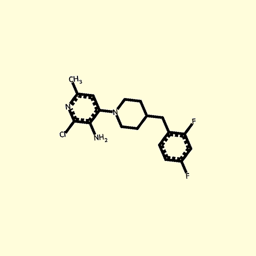 Cc1cc(N2CCC(Cc3ccc(F)cc3F)CC2)c(N)c(Cl)n1